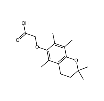 Cc1c(C)c2c(c(C)c1OCC(=O)O)CCC(C)(C)O2